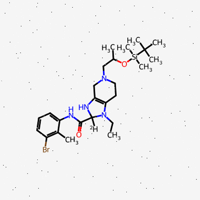 [2H]C1(C(=O)Nc2cccc(Br)c2C)NC2=C(CCN(CC(C)O[Si](C)(C)C(C)(C)C)C2)N1CC